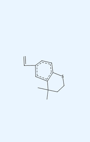 [CH]=Cc1ccc2c(c1)C(C)(C)CCS2